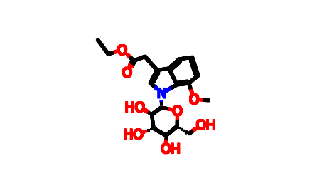 CCOC(=O)Cc1cn([C@@H]2O[C@H](CO)[C@@H](O)[C@H](O)[C@H]2O)c2c(OC)cccc12